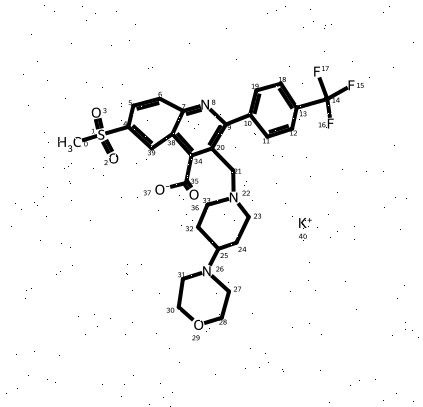 CS(=O)(=O)c1ccc2nc(-c3ccc(C(F)(F)F)cc3)c(CN3CCC(N4CCOCC4)CC3)c(C(=O)[O-])c2c1.[K+]